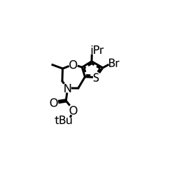 CC1CN(C(=O)OC(C)(C)C)Cc2sc(Br)c(C(C)C)c2O1